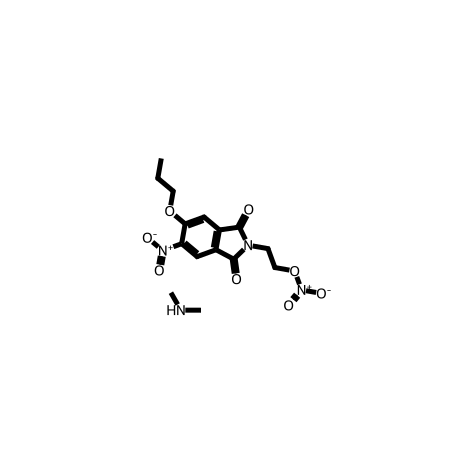 CCCOc1cc2c(cc1[N+](=O)[O-])C(=O)N(CCO[N+](=O)[O-])C2=O.CNC